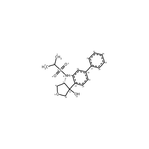 CC(C)S(=O)(=O)N[C@H]1COCC1(O)c1ccc(-c2ccccc2)cc1